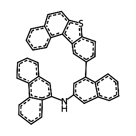 c1ccc2c(-c3ccc4sc5ccc6ccccc6c5c4c3)cc(Nc3cc4ccccc4c4ccccc34)cc2c1